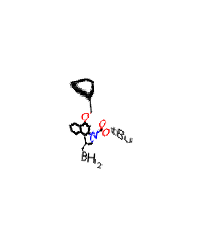 BC[C@@H]1CN(C(=O)OC(C)(C)C)c2cc(OCc3ccccc3)c3ccccc3c21